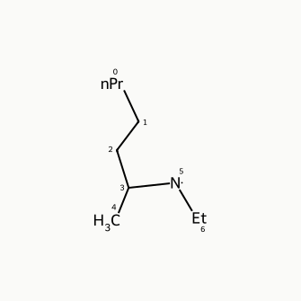 CCCCCC(C)[N]CC